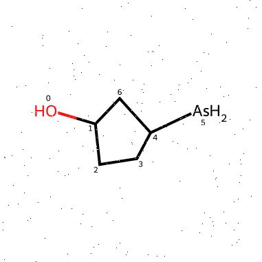 OC1CCC([AsH2])C1